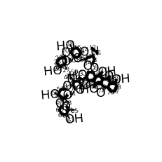 CC[C@@]1(O)C[C@H](O[C@H]2C[C@H](N(C)C)[C@H](O[C@H]3C[C@H](O)[C@H](O[C@H]4CC[C@H](O)[C@H](C)O4)[C@H](C)O3)[C@H](C)O2)c2c(O)c3c(c(O)c2[C@H]1O[C@H]1C[C@H](N(C)C)[C@H](O[C@H]2C[C@H](O)[C@H](O[C@H]4CC[C@H](O)[C@H](C)O4)[C@H](C)O2)[C@H](C)O1)C(=O)c1cccc(O)c1C3=O